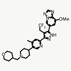 COc1cc(-c2[nH]nc(-c3cc(C)c(C4CCN(CC5CCOCC5)CC4)cn3)c2CC(F)(F)F)cn2ncnc12